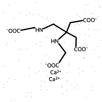 O=C([O-])CNCC(CC(=O)[O-])(CC(=O)[O-])NCC(=O)[O-].[Ca+2].[Ca+2]